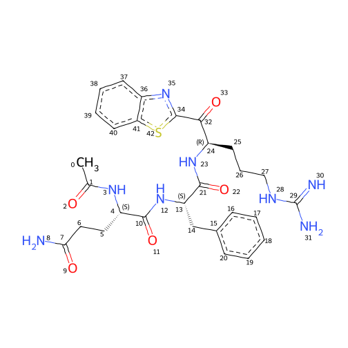 CC(=O)N[C@@H](CCC(N)=O)C(=O)N[C@@H](Cc1ccccc1)C(=O)N[C@H](CCCNC(=N)N)C(=O)c1nc2ccccc2s1